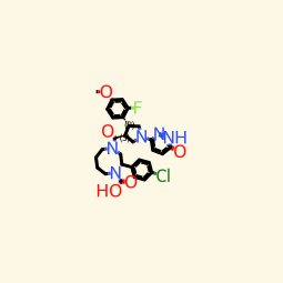 COc1ccc([C@@H]2CN(c3ccc(=O)[nH]n3)C[C@H]2C(=O)N2CCCCN(C(=O)O)C(c3ccc(Cl)cc3)C2)c(F)c1